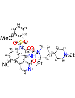 CCOc1ncccc1C1(NC(=O)N2CCC(C3CCN(CC)CC3)CC2)C(=O)N(S(=O)(=O)c2ccccc2OC)c2ccc(C#N)cc21